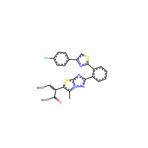 COC=C(C(=O)OC)c1sc2nc(-c3ccccc3-c3nc(-c4ccc(Cl)cc4)cs3)nn2c1C